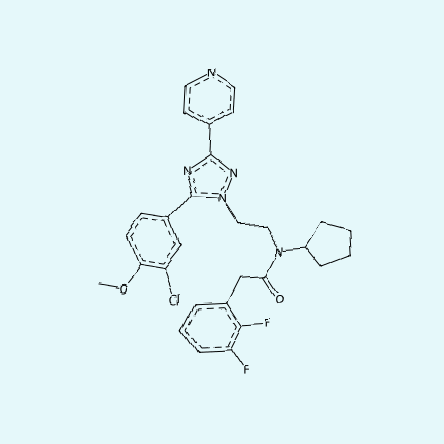 COc1ccc(-c2nc(-c3ccncc3)nn2CCN(C(=O)Cc2cccc(F)c2F)C2CCCC2)cc1Cl